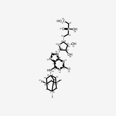 C[C@]12C[C@@H]3C[C@](C)(C1)C[C@@](Nc1nc(Cl)nc4c1ncn4[C@@H]1O[C@H](CCP(=O)(O)CC(=O)O)[C@H](O)C1O)(C3)C2